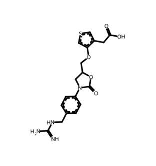 N=C(N)NCc1ccc(N2CC(COc3cscc3CC(=O)O)OC2=O)cc1